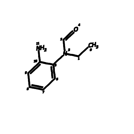 CCN(C=O)c1ccccc1N